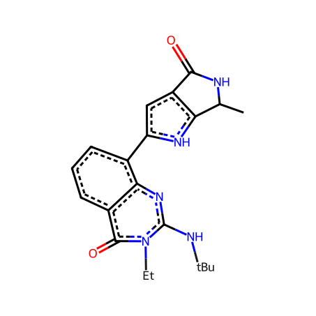 CCn1c(NC(C)(C)C)nc2c(-c3cc4c([nH]3)C(C)NC4=O)cccc2c1=O